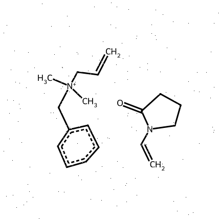 C=CC[N+](C)(C)Cc1ccccc1.C=CN1CCCC1=O